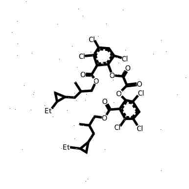 CCC1CC1CC(C)COC(=O)c1c(Cl)c(Cl)cc(Cl)c1OC(=O)C(=O)Oc1c(Cl)cc(Cl)c(Cl)c1C(=O)OCC(C)CC1CC1CC